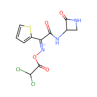 O=C(NC1CNC1=O)/C(=N/OC(=O)C(Cl)Cl)c1cccs1